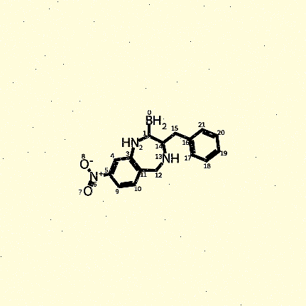 BC1Nc2cc([N+](=O)[O-])ccc2CNC1Cc1ccccc1